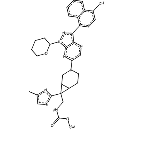 Cc1csc(C2(CNC(=O)OC(C)(C)C)C3CCN(c4cnc5c(-c6ccc(O)c7ccccc67)nn(C6CCCCO6)c5n4)CC32)n1